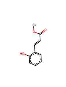 N#COC(=O)C=Cc1ccccc1O